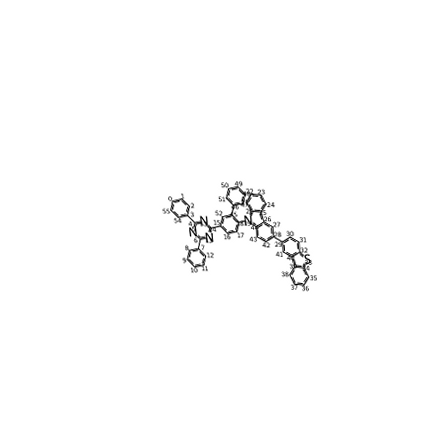 c1ccc(-c2nc(-c3ccccc3)nc(-c3ccc(-n4c5ccccc5c5cc(-c6ccc7sc8ccccc8c7c6)ccc54)c(-c4ccccc4)c3)n2)cc1